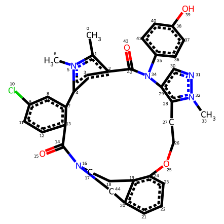 Cc1c2cc(n1C)-c1cc(Cl)ccc1C(=O)N1CCc3c(cccc3OCCc3c(cnn3C)N(c3ccc(O)cc3)C2=O)C1